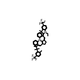 C=C(C=CC1=C(N(c2ccccc2)c2ccccc2)C(=CC=C2N(CC)c3ccc(C(F)(F)F)cc3C2(C)C)CC1)C(C)(C)c1cc(C(F)(F)F)ccc1C